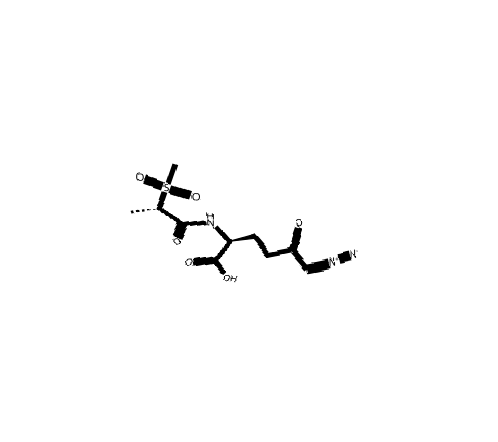 C[C@@H](C(=O)N[C@@H](CCC(=O)C=[N+]=[N-])C(=O)O)S(C)(=O)=O